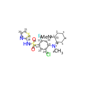 CN[C@H]1CCCC[C@@H]1N(C)c1cc(F)c(S(=O)(=O)Nc2nccs2)cc1Cl